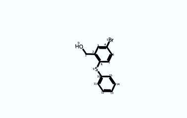 OCc1cc(Br)ccc1Sc1ccccc1